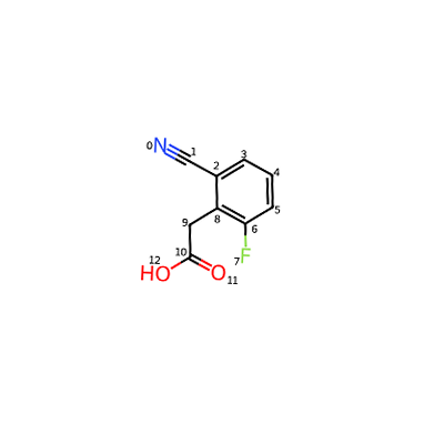 N#Cc1cccc(F)c1CC(=O)O